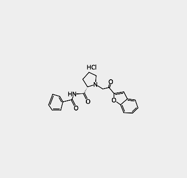 Cl.O=C(NC(=O)[C@@H]1CCCN1CC(=O)c1cc2ccccc2o1)c1ccccc1